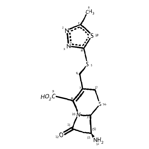 Cc1nnc(SCC2=C(C(=O)O)N3C(=O)[C@H](N)C3SC2)s1